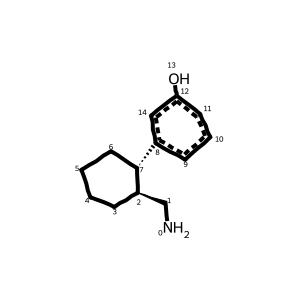 NC[C@H]1CCCC[C@@H]1c1cccc(O)c1